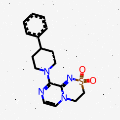 O=S1(=O)CCN2C=CN=C(N3CCC(c4ccccc4)CC3)C2=N1